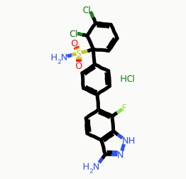 Cl.Nc1n[nH]c2c(F)c(-c3ccc(C4(S(N)(=O)=O)C=CC=C(Cl)C4Cl)cc3)ccc12